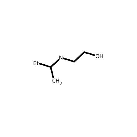 CCC(C)[N]CCO